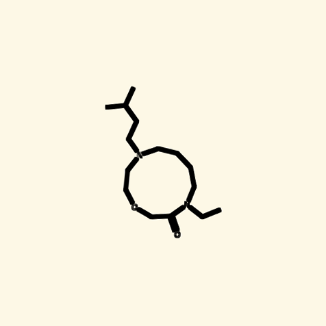 CCN1CCCCN(CCC(C)C)CCOCC1=O